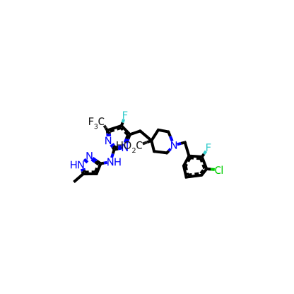 Cc1cc(Nc2nc(CC3(C(=O)O)CCN(Cc4cccc(Cl)c4F)CC3)c(F)c(C(F)(F)F)n2)n[nH]1